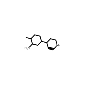 CC1CCC(C2C#CNCC2)CC1N